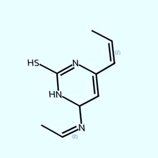 C/C=C\C1=CC(/N=C\C)NC(S)=N1